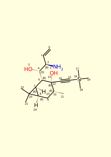 C=C[C@@H](N)[C@@H](O)[C@H]1[C@H]2[C@@H](C[C@@H](C)[C@]1(O)C#C[Si](C)(C)C)C2(C)C